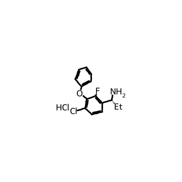 CC[C@@H](N)c1ccc(Cl)c(Oc2ccccc2)c1F.Cl